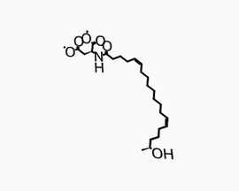 COC(=O)C[C@H](NC(=O)CCC/C=C\CCCCCCC/C=C\CCC[C@H](C)O)C(=O)OC